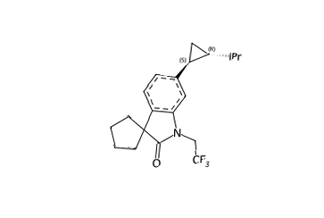 CC(C)[C@H]1C[C@@H]1c1ccc2c(c1)N(CC(F)(F)F)C(=O)C21CCCC1